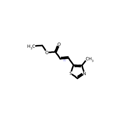 CCOC(=O)/C=C/c1scnc1C